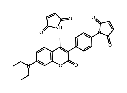 CCN(CC)c1ccc2c(C)c(-c3ccc(N4C(=O)C=CC4=O)cc3)c(=O)oc2c1.O=C1C=CC(=O)N1